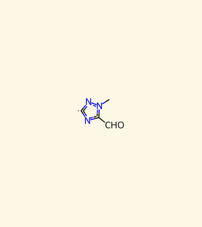 Cn1n[c]nc1C=O